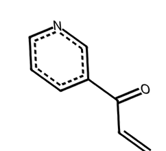 C=CC(=O)c1cccnc1